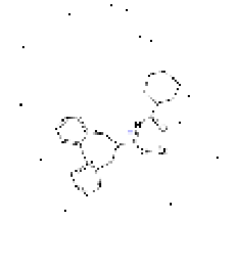 CCO/C(=N\C(=O)N1CCCCC1)N1Cc2ccccc2-c2ccccc2C1